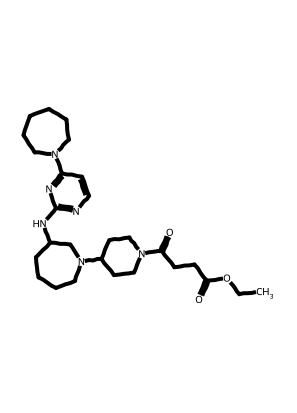 CCOC(=O)CCC(=O)N1CCC(N2CCCCC(Nc3nccc(N4CCCCCC4)n3)C2)CC1